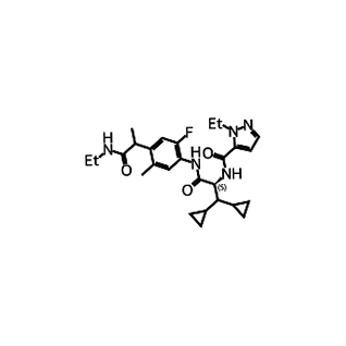 CCNC(=O)C(C)c1cc(F)c(NC(=O)[C@@H](NC(=O)c2ccnn2CC)C(C2CC2)C2CC2)cc1C